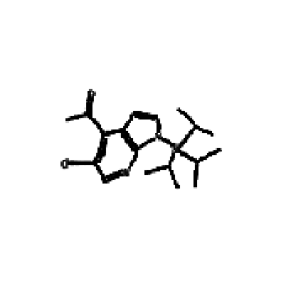 CC(=O)c1c(Cl)cnc2c1ccn2[Si](C(C)C)(C(C)C)C(C)C